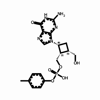 Cc1ccc(OP(=O)(O)OC[C@H]2[C@@H](CO)C[C@H]2n2cnc3c(=O)[nH]c(N)nc32)cc1